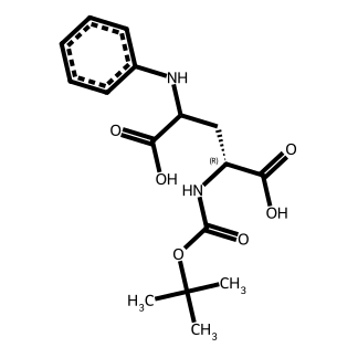 CC(C)(C)OC(=O)N[C@H](CC(Nc1ccccc1)C(=O)O)C(=O)O